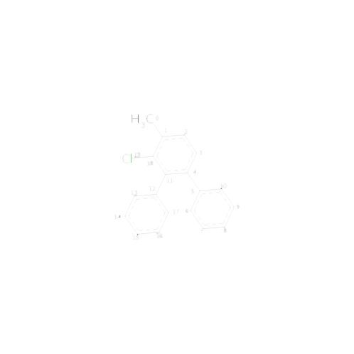 Cc1ccc(-c2ccccc2)c(-c2ccccc2)c1Cl